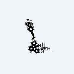 CNC(=O)O[C@H]1CCC[C@@H]1C(C#N)(c1ccccc1)C1CCN(CCC#Cc2ccc(S(=O)(=O)C(F)(F)F)cc2)CC1